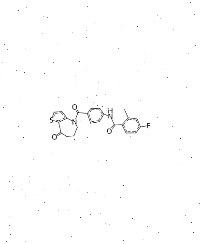 Cc1cc(F)ccc1C(=O)Nc1ccc(C(=O)N2CCCC(=O)c3sccc32)cc1